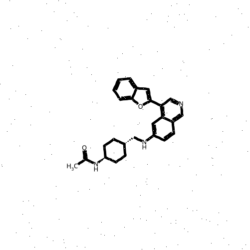 CC(=O)N[C@H]1CC[C@H](CNc2ccc3cncc(-c4cc5ccccc5o4)c3c2)CC1